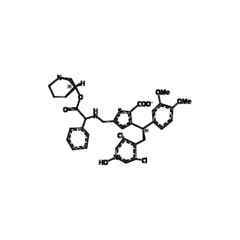 COc1ccc([C@@H](Cc2c(Cl)c[n+](O)cc2Cl)c2cc(CNC(C(=O)O[C@H]3CN4CCC3CC4)c3ccccc3)sc2C(=O)[O-])cc1OC